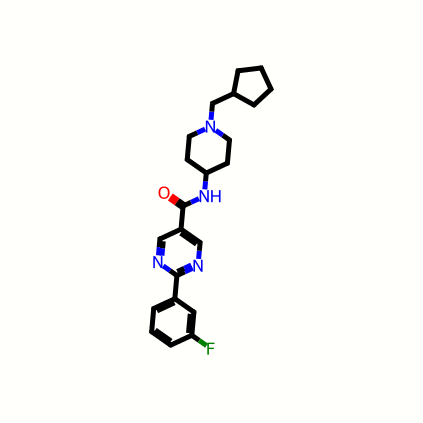 O=C(NC1CCN(CC2CCCC2)CC1)c1cnc(-c2cccc(F)c2)nc1